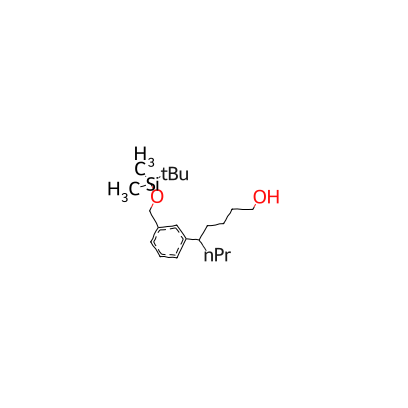 CCCC(CCCCO)c1cccc(CO[Si](C)(C)C(C)(C)C)c1